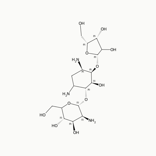 NC1C[C@@H](N)[C@@H](O[C@@H]2O[C@H](CO)[C@H](O)C2O)[C@@H](O)[C@@H]1O[C@H]1OC(CO)[C@@H](O)[C@H](O)[C@@H]1N